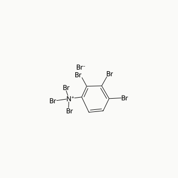 Brc1ccc([N+](Br)(Br)Br)c(Br)c1Br.[Br-]